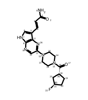 NC(=O)C=Cc1c[nH]c2ncc(N3CCN(C(=O)[C@@H]4CC[C@@H](F)C4)CC3)nc12